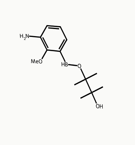 COc1c(N)cccc1BOC(C)(C)C(C)(C)O